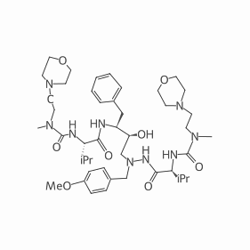 COc1ccc(CN(C[C@H](O)[C@H](Cc2ccccc2)NC(=O)[C@@H](NC(=O)N(C)CCN2CCOCC2)C(C)C)NC(=O)[C@@H](NC(=O)N(C)CCN2CCOCC2)C(C)C)cc1